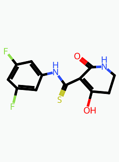 O=C1NCCC(O)=C1C(=S)Nc1cc(F)cc(F)c1